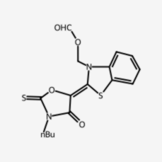 CCCCN1C(=O)/C(=C2\Sc3ccccc3N2COC=O)OC1=S